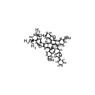 CC(C)(C)c1ccc(N2B3c4cc5cc(-c6ccccc6)oc5cc4-n4c5ccc(C(C)(C)C)cc5c5c6oc7ccccc7c6c(c3c54)-c3cc4c(cc32)oc2cc3c(cc24)C(C)(C)CCC3(C)C)cc1